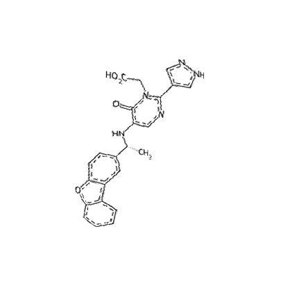 C[C@@H](Nc1cnc(-c2cn[nH]c2)n(CC(=O)O)c1=O)c1ccc2oc3ccccc3c2c1